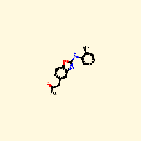 COC(=O)Cc1ccc2oc(Nc3ccccc3C)nc2c1